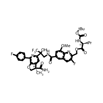 COc1cc(C(=O)NCC(O)(c2cc3c(c(-c4ccc(F)cc4)n2)OC[C@]3(C)C(N)=O)C(F)(F)F)cc2cc(F)c(COC(=O)[C@@H](NC(=O)OC(C)(C)C)C(C)C)nc12